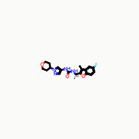 Cc1c([C@H](C)NC(=O)Nc2cnn(C3CCOCC3)c2)oc2ccc(F)cc12